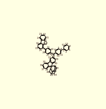 c1ccc(-c2ccc(N(c3ccc(-c4cccc5c4oc4ccccc45)cc3)c3ccc4c(c3)-c3ccccc3C43C4CC5CC(C4)CC3C5)cc2)cc1